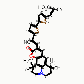 CC1(C)CCN2CCC(C)(C)c3c2c1cc1cc(/C=C(\C#N)c2ccc(-c4ccc(/C=C(/C#N)C(=O)O)s4)s2)c(=O)oc31